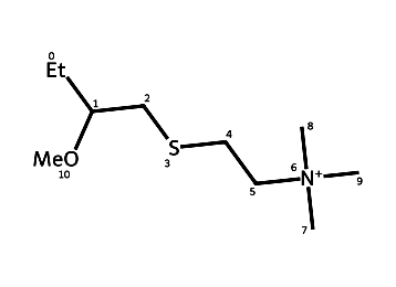 CCC(CSCC[N+](C)(C)C)OC